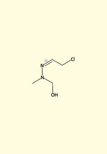 CN(CO)/N=C\CCl